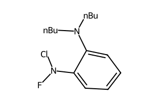 CCCCN(CCCC)c1ccccc1N(F)Cl